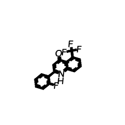 O=c1cc(-c2ccccc2F)[nH]c2cccc(C(F)(F)F)c12